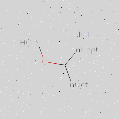 CCCCCCCCC(CCCCCCC)OS(=O)(=O)O.N